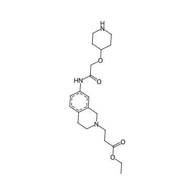 CCOC(=O)CCN1CCc2ccc(NC(=O)COC3CCNCC3)cc2C1